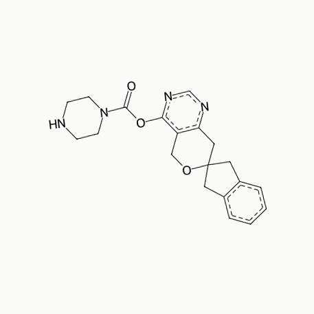 O=C(Oc1ncnc2c1COC1(Cc3ccccc3C1)C2)N1CCNCC1